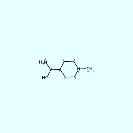 CN1CCC(C(N)O)CC1